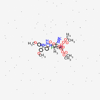 COc1ccc(C(NC2C=CN([C@@H]3O[C@](CN=[N+]=[N-])(COP(=O)(OCOC(=O)OC(C)C)OCOC(=O)OC(C)C)[C@@H](C)[C@@]3(C)F)C(=O)N2)(c2ccccc2)c2ccc(OC)cc2)cc1